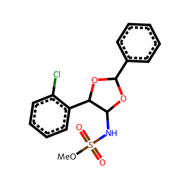 COS(=O)(=O)NC1OC(c2ccccc2)OC1c1ccccc1Cl